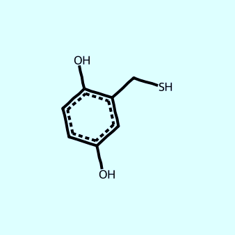 Oc1ccc(O)c(CS)c1